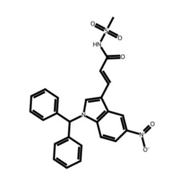 CS(=O)(=O)NC(=O)C=Cc1cn(C(c2ccccc2)c2ccccc2)c2ccc([N+](=O)[O-])cc12